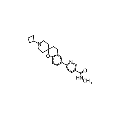 CNC(=O)c1ccc(-c2ccc3c(c2)CCC2(CCN(C4CCC4)CC2)O3)nc1